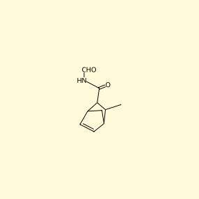 CC1C2C=CC(C2)C1C(=O)NC=O